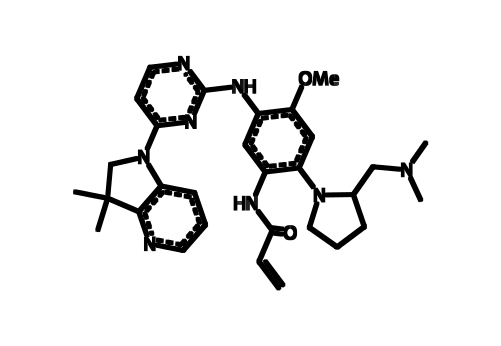 C=CC(=O)Nc1cc(Nc2nccc(N3CC(C)(C)c4ncccc43)n2)c(OC)cc1N1CCCC1CN(C)C